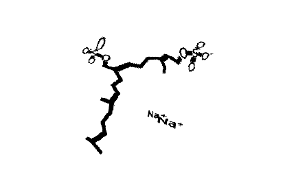 CC(C)=CCC/C(C)=C/CC/C(=C\CC/C(C)=C/COS(=O)(=O)[O-])COS(=O)(=O)[O-].[Na+].[Na+]